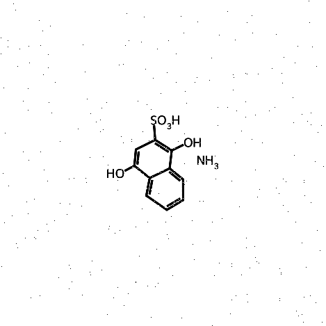 N.O=S(=O)(O)c1cc(O)c2ccccc2c1O